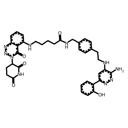 Nc1nnc(-c2ccccc2O)cc1NCCc1ccc(CNC(=O)CCCCNc2cccc3nnn(C4CCC(=O)NC4=O)c(=O)c23)cc1